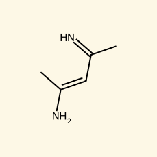 CC(=N)/C=C(\C)N